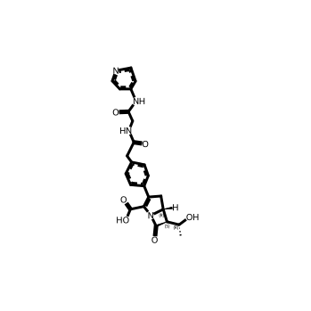 C[C@@H](O)[C@H]1C(=O)N2C(C(=O)O)=C(c3ccc(CC(=O)NCC(=O)Nc4ccncc4)cc3)C[C@H]12